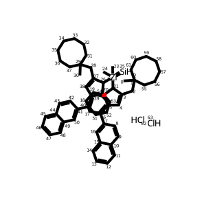 CC1(CC2=Cc3c(-c4ccc5ccccc5c4)cccc3[CH]2[Zr]([CH3])([CH3])(=[SiH2])[CH]2C(CC3(C)CCCCCCC3)=Cc3c(-c4ccc5ccccc5c4)cccc32)CCCCCCC1.Cl.Cl